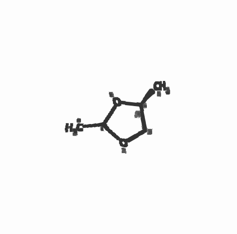 CC1OC[C@H](C)O1